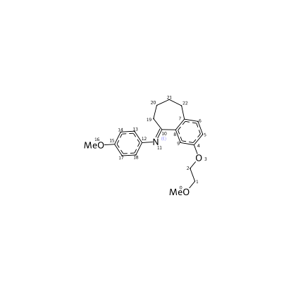 COCCOc1ccc2c(c1)/C(=N/c1ccc(OC)cc1)CCCC2